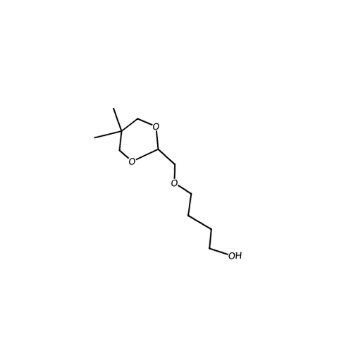 CC1(C)COC(COCCCCO)OC1